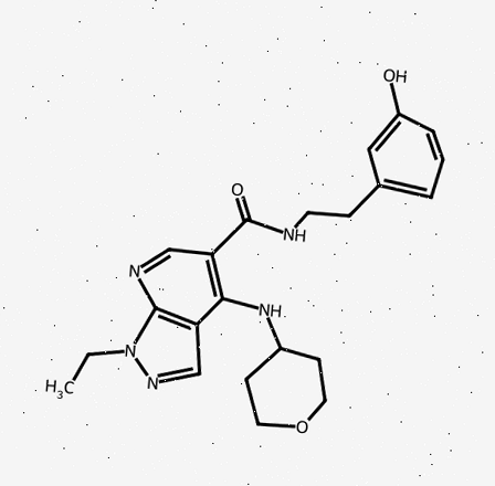 CCn1ncc2c(NC3CCOCC3)c(C(=O)NCCc3cccc(O)c3)cnc21